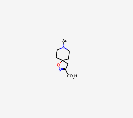 CC(=O)N1CCC2(CC1)CC(C(=O)O)=NO2